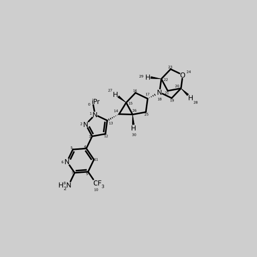 CC(C)n1nc(-c2cnc(N)c(C(F)(F)F)c2)cc1[C@@H]1[C@@H]2C[C@H](N3C[C@@H]4C[C@H]3CO4)C[C@@H]21